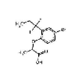 CCC(F)(F)c1cc(Br)ccc1OC(C)C(=O)O